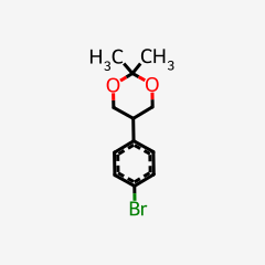 CC1(C)OCC(c2ccc(Br)cc2)CO1